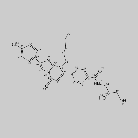 CCCCCn1c(-c2ccc(C(=O)NCC(O)CO)cc2)cc(=O)n2cc(-c3ccc(Cl)cc3)nc12